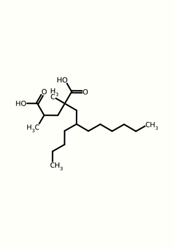 CCCCCCC(CCCC)CC(C)(CC(C)C(=O)O)C(=O)O